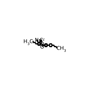 [C-]#[N+]c1c(OC(=O)c2ccc(C3CCC(CCCCC)CC3)cc2)ccc(CCCCC)c1C#N